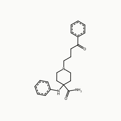 NC(=O)C1(Nc2ccccc2)CCN(CCCC(=O)c2ccccc2)CC1